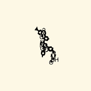 Cc1ccc(S(=O)(=O)n2c(-c3ccc(CN4CCN(BC=O)CC4)cc3)cc3c(-c4cccc(N5CCOc6cc(C7CC7)ccc6C5=O)c4C)ncnc32)cc1